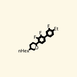 CCCCCCC1CCC(c2ccc(-c3ccc(CC)c(F)c3)c(F)c2F)OC1